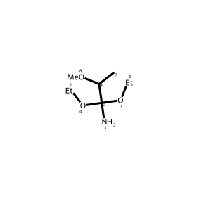 CCOC(N)(OCC)C(C)OC